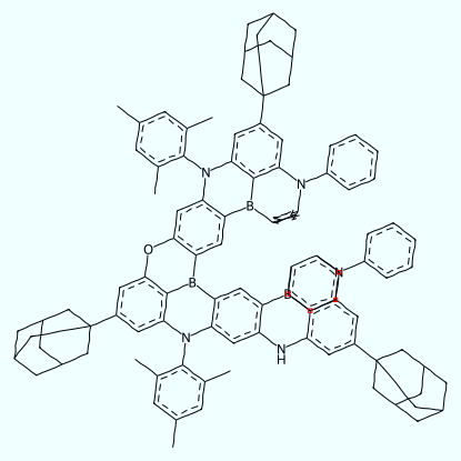 Cc1cc(C)c(N2c3cc4c(cc3B3c5cc6c(cc5Oc5cc(C78CC9CC(CC(C9)C7)C8)cc2c53)N(c2c(C)cc(C)cc2C)c2cc(C35CC7CC(CC(C7)C3)C5)cc3c2B6c2ccccc2N3c2ccccc2)B2c3ccccc3N(c3ccccc3)c3cc(C56CC7CC(CC(C7)C5)C6)cc(c32)N4)c(C)c1